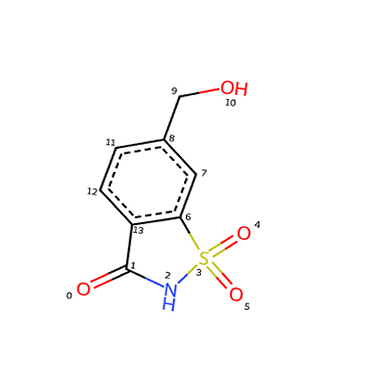 O=C1NS(=O)(=O)c2cc(CO)ccc21